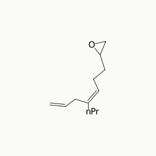 C=CCC(=CCCC1CO1)CCC